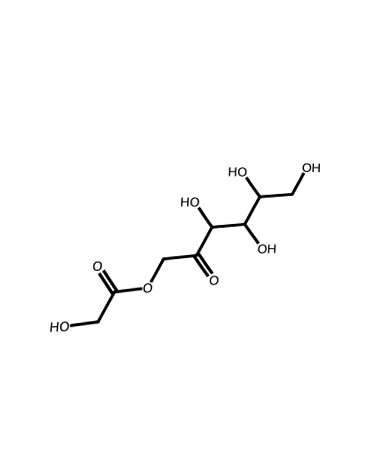 O=C(CO)OCC(=O)C(O)C(O)C(O)CO